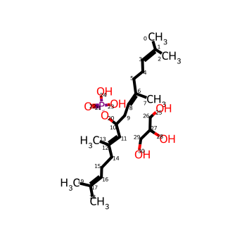 CC(C)=CCC/C(C)=C/CC(/C=C(\C)CCC=C(C)C)OP(=O)(O)O.OCC(O)CO